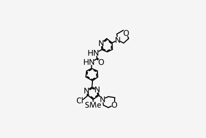 CSc1c(Cl)nc(-c2ccc(NC(=O)Nc3ccc(N4CCOCC4)cn3)cc2)nc1N1CCOCC1